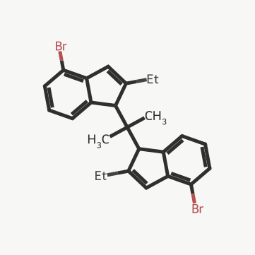 CCC1=Cc2c(Br)cccc2C1C(C)(C)C1C(CC)=Cc2c(Br)cccc21